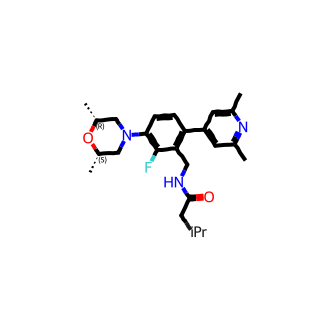 Cc1cc(-c2ccc(N3C[C@@H](C)O[C@@H](C)C3)c(F)c2CNC(=O)CC(C)C)cc(C)n1